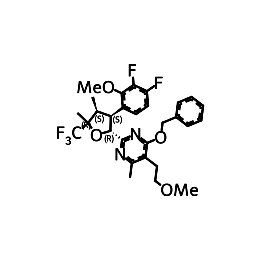 COCCc1c(C)nc([C@@H]2O[C@@](C)(C(F)(F)F)[C@@H](C)[C@H]2c2ccc(F)c(F)c2OC)nc1OCc1ccccc1